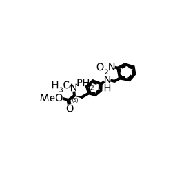 COC(=O)[C@H](Cc1ccc(NCc2ccccc2[N+](=O)[O-])cc1)N(C)P